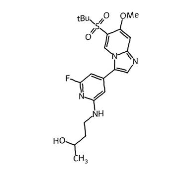 COc1cc2ncc(-c3cc(F)nc(NCCC(C)O)c3)n2cc1S(=O)(=O)C(C)(C)C